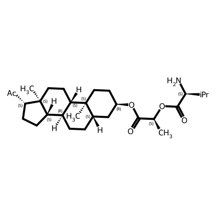 CC(=O)[C@H]1CC[C@H]2[C@@H]3CC[C@H]4C[C@H](OC(=O)[C@H](C)OC(=O)[C@@H](N)C(C)C)CC[C@]4(C)[C@H]3CC[C@]12C